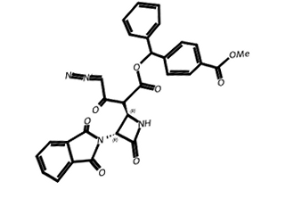 COC(=O)c1ccc(C(OC(=O)C(C(=O)C=[N+]=[N-])[C@H]2NC(=O)[C@@H]2N2C(=O)c3ccccc3C2=O)c2ccccc2)cc1